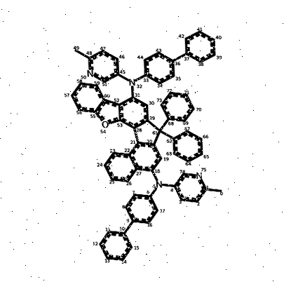 Cc1ccc(N(c2ccc(-c3ccccc3)cc2)c2cc3c(c4ccccc24)-c2c(cc(N(c4ccc(-c5ccccc5)cc4)c4ccc(C)nc4)c4c2oc2ccccc24)C3(c2ccccc2)c2ccccc2)cn1